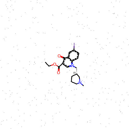 CCOC(=O)c1cn(C[C@H]2CCCN(C)C2)c2ccc(I)cc2c1=O